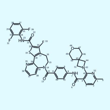 Cc1ccc(C(=O)Nc2ccc(C(=O)N3CCc4c(sc(C(=O)Nc5c(F)cccc5F)c4F)-c4ncccc43)cc2)c(N2CC3(CCOCC3)C2)n1